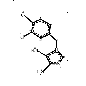 Nc1ncn(Cc2ccc(Cl)c(Cl)c2)c1N